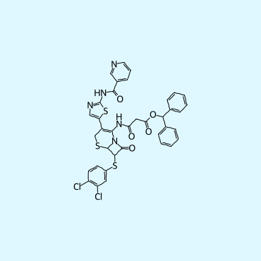 O=C(CC(=O)OC(c1ccccc1)c1ccccc1)NC1=C(c2cnc(NC(=O)c3cccnc3)s2)CSC2C(Sc3ccc(Cl)c(Cl)c3)C(=O)N12